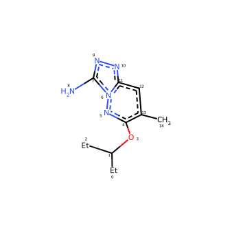 CCC(CC)Oc1nn2c(N)nnc2cc1C